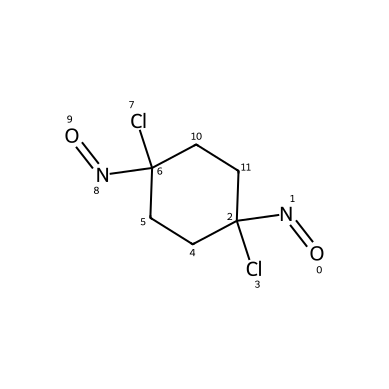 O=NC1(Cl)CCC(Cl)(N=O)CC1